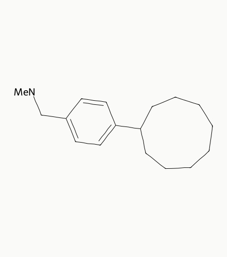 CNCc1ccc(C2CCCCCCCC2)cc1